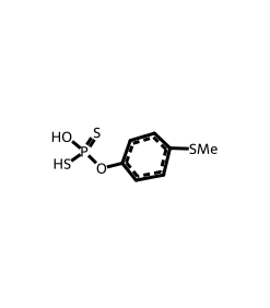 CSc1ccc(OP(O)(=S)S)cc1